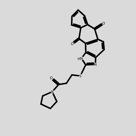 O=C1c2ccccc2C(=O)c2c1ccc1nc(SCCC(=O)N3CCCC3)[nH]c21